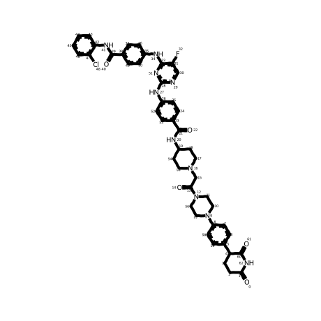 O=C1CCC(c2ccc(N3CCN(C(=O)CN4CCC(NC(=O)c5ccc(Nc6ncc(F)c(Nc7ccc(C(=O)Nc8ccccc8Cl)cc7)n6)cc5)CC4)CC3)cc2)C(=O)N1